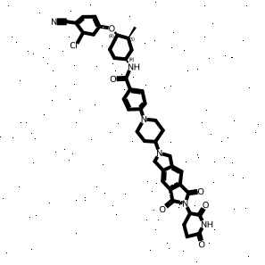 C[C@H]1C[C@H](NC(=O)c2ccc(N3CCC(N4Cc5cc6c(cc5C4)C(=O)N(C4CCC(=O)NC4=O)C6=O)CC3)cc2)CC[C@H]1OC1=CC=C(C#N)C(Cl)C1